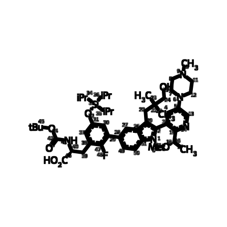 CCn1c(-c2cc(N3CCN(C)CC3)cnc2[C@H](C)OC)c(CC(C)(C)CO)c2cc(-c3cc(O[Si](C(C)C)(C(C)C)C(C)C)cc(C[C@H](NC(=O)OC(C)(C)C)C(=O)O)c3F)ccc21